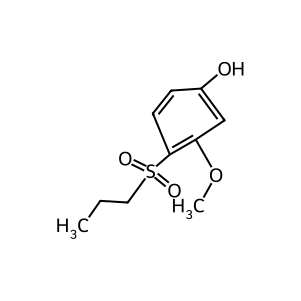 CCCS(=O)(=O)c1ccc(O)cc1OC